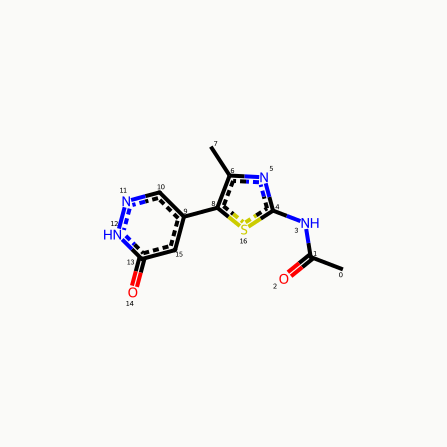 CC(=O)Nc1nc(C)c(-c2cn[nH]c(=O)c2)s1